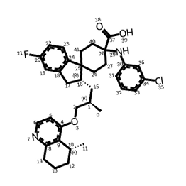 C[C@@H](COc1ccnc2c1[C@H](C)CCC2)C[C@@H]1Cc2cc(F)ccc2C12CCC(Nc1cccc(Cl)c1)(C(=O)O)CC2